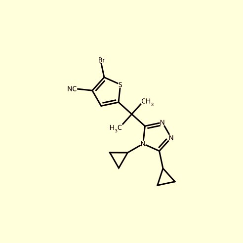 CC(C)(c1cc(C#N)c(Br)s1)c1nnc(C2CC2)n1C1CC1